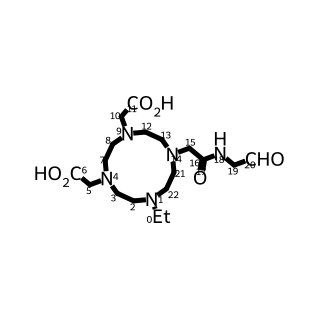 CCN1CCN(CC(=O)O)CCN(CC(=O)O)CCN(CC(=O)NCC=O)CC1